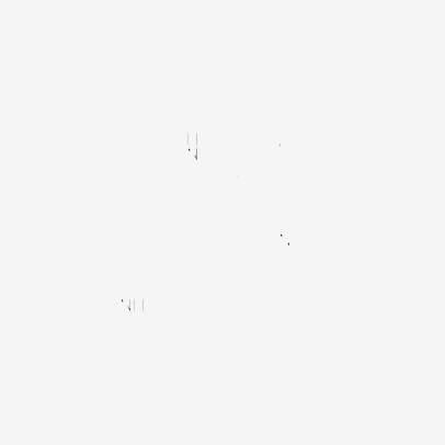 [NH]c1cccc2c1CC(N1CCCCC1)C(=O)N2